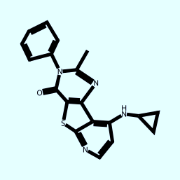 Cc1nc2c(sc3nccc(NC4CC4)c32)c(=O)n1-c1ccccc1